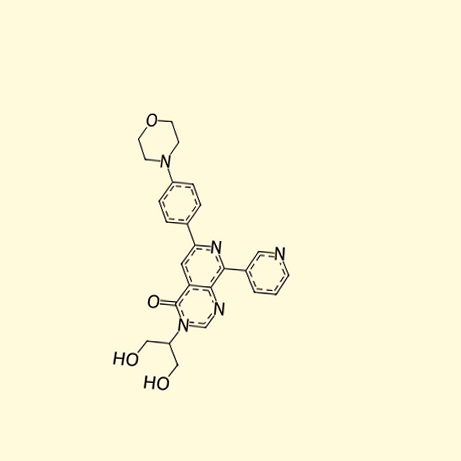 O=c1c2cc(-c3ccc(N4CCOCC4)cc3)nc(-c3cccnc3)c2ncn1C(CO)CO